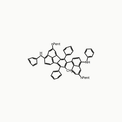 CCCCCc1ccc2c(-c3c(C)c(-c4ccccc4)c4c(c3-c3ccccc3)-c3cc(CCCCC)cc5c(Nc6ccccc6)ccc-4c35)ccc(Nc3ccccc3)c2c1